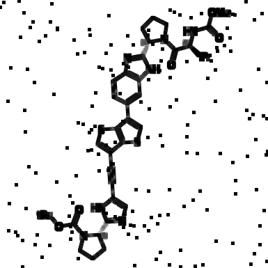 COC(=O)N[C@H](C(=O)N1CCC[C@H]1c1nc2ccc(-c3csc4c(C#Cc5cnc([C@@H]6CCCN6C(=O)OC(C)(C)C)[nH]5)csc34)cc2[nH]1)C(C)C